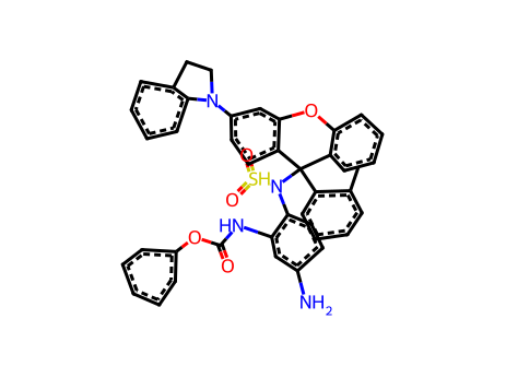 Cc1ccccc1C1(N(c2ccc(N)cc2NC(=O)Oc2ccccc2)[SH](=O)=O)c2ccccc2Oc2cc(N3CCc4ccccc43)ccc21